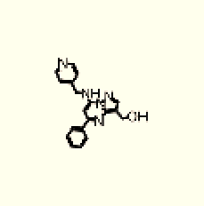 OCc1cnn2c(NCc3ccncc3)cc(-c3ccccc3)nc12